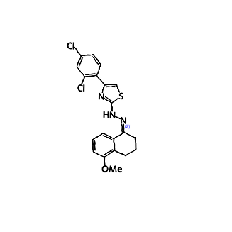 COc1cccc2c1CCC/C2=N/Nc1nc(-c2ccc(Cl)cc2Cl)cs1